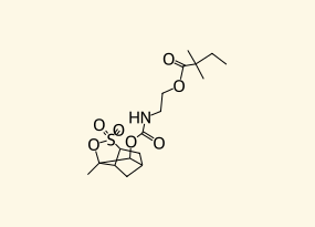 CCC(C)(C)C(=O)OCCNC(=O)OC1C2CC3C(C2)S(=O)(=O)OC31C